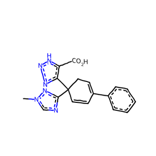 Cn1cnc(C2(c3nn[nH]c3C(=O)O)C=CC(c3ccccc3)=CC2)n1